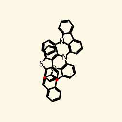 c1ccc(-n2c3ccccc3c3cccc(N(c4cccc5c4oc4ccc6ccccc6c45)c4cccc5sc6ccccc6c45)c32)cc1